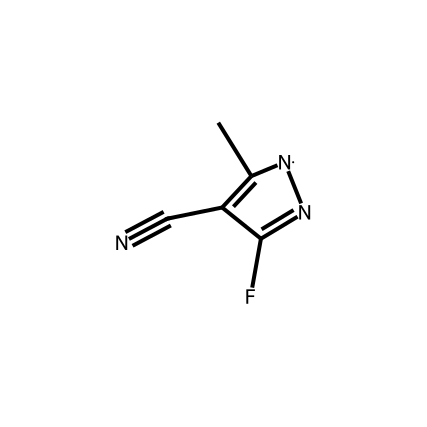 CC1=C(C#N)C(F)=N[N]1